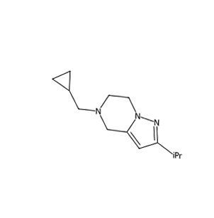 CC(C)c1cc2n(n1)CCN(CC1CC1)C2